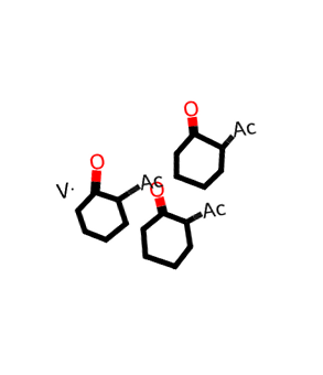 CC(=O)C1CCCCC1=O.CC(=O)C1CCCCC1=O.CC(=O)C1CCCCC1=O.[V]